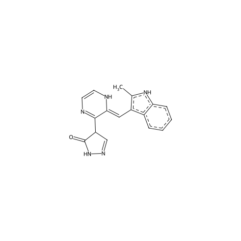 Cc1[nH]c2ccccc2c1C=C1NC=CN=C1C1C=NNC1=O